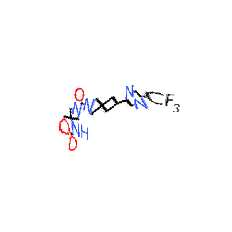 O=C1NC2(CO1)CN(C(=O)N1CC3(CC(c4cnc(C(F)(F)F)cn4)C3)C1)C2